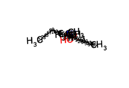 CCCCCCCC/C=C\CCCCCCCC[P-]C(C(O)C(=O)CCCCCCCCCCCCC)[N+](C)(C)C